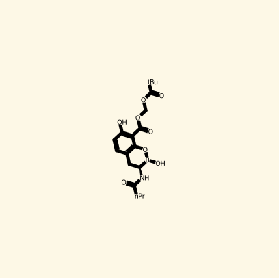 CCCC(=O)N[C@H]1Cc2ccc(O)c(C(=O)OCOC(=O)C(C)(C)C)c2OB1O